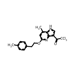 Cc1ccc(CCOc2cc(C)c3[nH]cc(C(=O)C(Cl)(Cl)Cl)c3n2)cc1